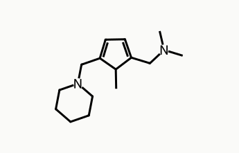 CC1C(CN(C)C)=CC=C1CN1CCCCC1